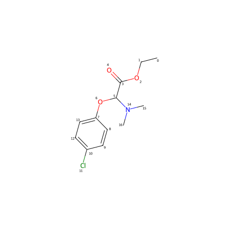 CCOC(=O)C(Oc1ccc(Cl)cc1)N(C)C